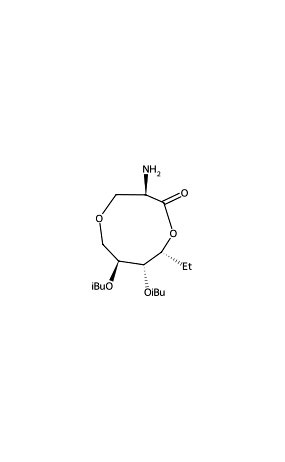 CC[C@H]1OC(=O)[C@H](N)COC[C@H](OCC(C)C)[C@H]1OCC(C)C